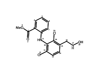 COC(=O)c1ccccc1Nc1c(Cl)ccc(CNO)c1Cl